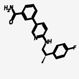 C[C@H](CNc1ccc(-c2cccc(C(N)=O)c2)cn1)c1ccc(F)cc1